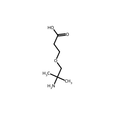 CC(C)(N)COCCC(=O)O